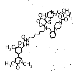 Cc1cc(-c2cc(C)c3oc(C(=O)NCCCCCCN(Cc4ccccc4N4CCN(C(=O)OC(C)(C)C)CC4)C(=O)c4sc5ccccc5c4C(=O)O)cc3c2)cn(C)c1=O